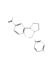 NC(=O)c1ccc2c(c1)[C@H]1CCC[C@H]1[C@@H](c1ccc(O)cc1)O2